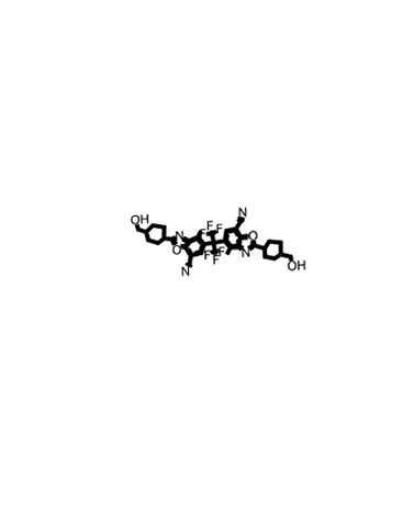 Cc1c(C(c2cc(C#N)c3oc(C4CCC(CO)CC4)nc3c2C)(C(F)(F)F)C(F)(F)F)cc(C#N)c2oc(C3CCC(CO)CC3)nc12